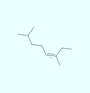 CC/C(C)=C\CCC(C)C